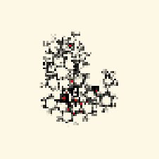 CC(C)=C[C](C(C)C)C(C1CC1)(C(c1ccsc1)c1sccc1-c1cccc(-c2cccc(-c3cccc(-c4ccc(-c5cccc(-c6ccoc6)c5F)c(Cl)c4OC(C)(c4ccccc4)c4ccccc4)c3Br)c2N(O)c2ccccc2)c1[N+](=O)[O-])C(C1CCCCC1)(C1CCCC1)C1CCC1